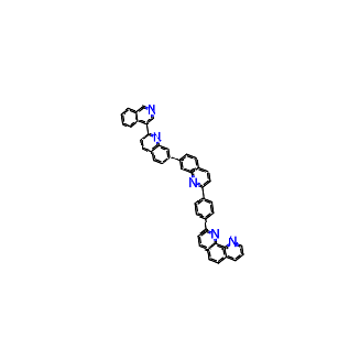 c1ccc2c(-c3ccc4ccc(-c5ccc6ccc(-c7ccc(-c8ccc9ccc%10cccnc%10c9n8)cc7)nc6c5)cc4n3)cncc2c1